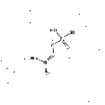 C[N+](O)=COP(=O)(O)S